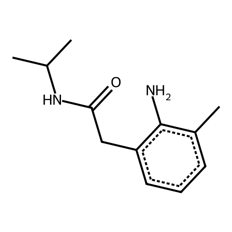 Cc1cccc(CC(=O)NC(C)C)c1N